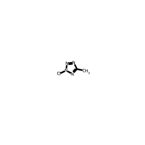 Cc1nnn(Cl)n1